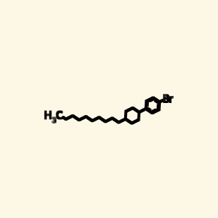 CCCCCCCCCCC1CCC(c2ccc(Br)cc2)CC1